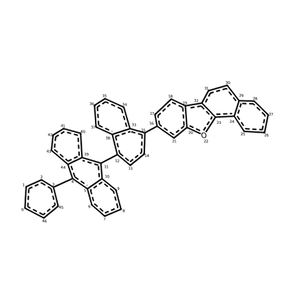 c1ccc(-c2c3ccccc3c(-c3ccc(-c4ccc5c(c4)oc4c6ccccc6ccc54)c4ccccc34)c3ccccc23)cc1